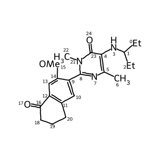 CCC(CC)Nc1c(C)nc(-c2cc3c(cc2OC)C(=O)CCC3)n(C)c1=O